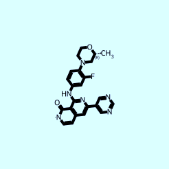 C[C@@H]1CN(c2ccc(Nc3nc(-c4cncnc4)cc4c3C(=O)[N]C=C4)cc2F)CCO1